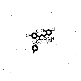 CCOC(=O)c1c(/C=C(\C(=O)O)c2ccc(Cl)cc2Cl)c2c(Cl)cc(Cl)cc2n1S(=O)(=O)c1ccc(C)cc1